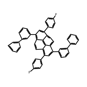 Fc1ccc(-c2cc(-c3cccc(-c4ccccc4)c3)c3ccc4c(-c5ccc(F)cc5)cc(-c5cccc(-c6ccccc6)c5)c5ccc2c3c45)cc1